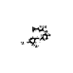 COc1ccc(CNc2ncc(Br)c(Nc3cc(C4CC4)n[nH]3)n2)cc1OC